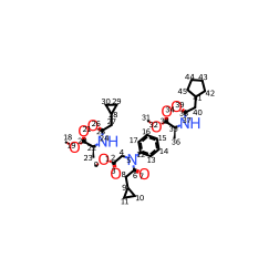 COC(=O)CN(C(=O)CC1CC1)c1ccccc1.COC(=O)[C@H](C)NC(=O)CC1CC1.COC(=O)[C@H](C)NC(=O)CC1CCCC1